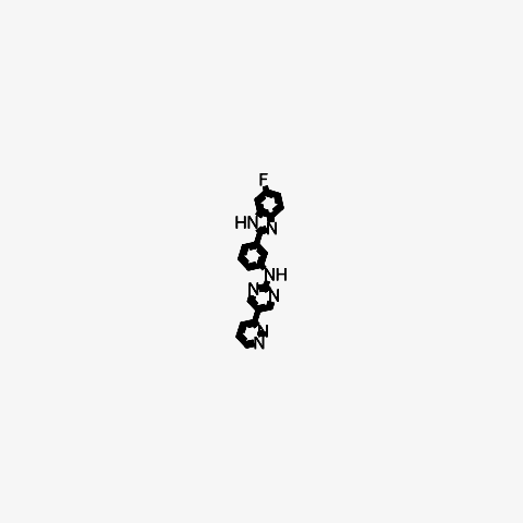 Fc1ccc2nc(-c3cccc(Nc4ncc(-c5cccnn5)cn4)c3)[nH]c2c1